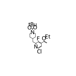 C=C(OCC)c1cc(Cl)nc(CC2CCN(C(=O)OC(C)(C)C)CC2)c1F